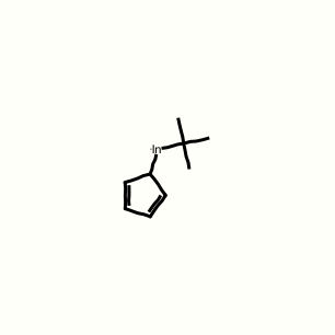 C[C](C)(C)[In][CH]1C=CC=C1